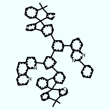 CC1(C)c2ccccc2C2(c3ccccc3-c3cc(-c4cc(-c5cc(-c6ccc7ccc8cccnc8c7n6)cc(-c6cccc7c6-c6ccccc6C76c7ccccc7C(C)(C)c7ccccc76)c5)cc(-c5cccc6nc(-c7ccccc7)ncc56)c4)ccc32)c2ccccc21